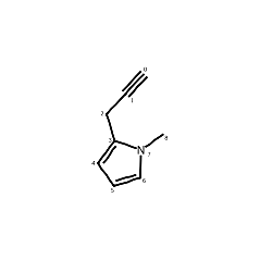 C#CCc1cccn1C